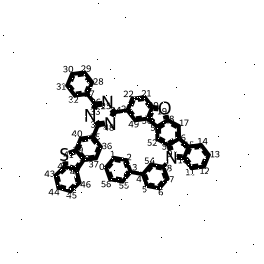 c1ccc(-c2cccc(-n3c4ccccc4c4cc5oc6ccc(-c7nc(-c8ccccc8)nc(-c8ccc9c(c8)sc8ccccc89)n7)cc6c5cc43)c2)cc1